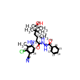 Cc1c(N[C@@H](C(=O)NNC(=O)c2ccccc2)[C@@H](C)CC(C)(C)[Si](C)(C)O)ccc(C#N)c1Cl